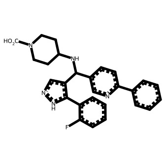 O=C(O)N1CCC(NC(c2ccc(-c3ccccc3)nc2)c2cn[nH]c2-c2ccccc2F)CC1